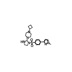 Cn1ccc(-c2ccc(S(=O)(=O)N3CCNC3N3CCN(C4CCC4)CC3)cc2)n1